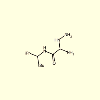 CC(C)C(NC(=O)C(N)NN)C(C)(C)C